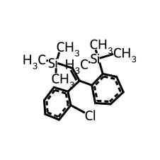 C[Si](C)(C)/C=C(\c1ccccc1Cl)c1ccccc1[Si](C)(C)C